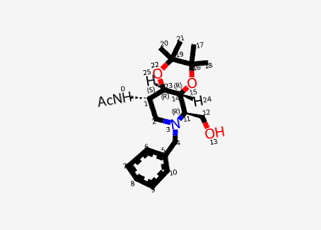 CC(=O)N[C@H]1CN(Cc2ccccc2)[C@H](CO)[C@H]2OC(C)(C)C(C)(C)O[C@@H]21